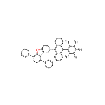 [2H]c1c([2H])c([2H])c(-c2c3ccccc3c(-c3ccc4oc5c(-c6ccccc6)ccc(-c6ccccc6)c5c4c3)c3ccccc23)c([2H])c1[2H]